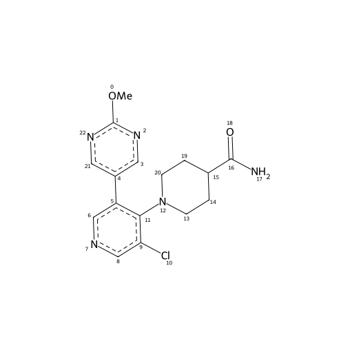 COc1ncc(-c2cncc(Cl)c2N2CCC(C(N)=O)CC2)cn1